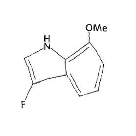 COc1cccc2c(F)c[nH]c12